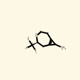 CC1C2=C1C[C@@H](C(F)(F)F)OCC2